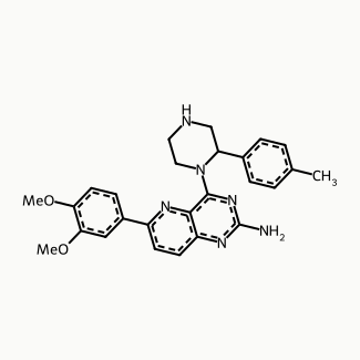 COc1ccc(-c2ccc3nc(N)nc(N4CCNCC4c4ccc(C)cc4)c3n2)cc1OC